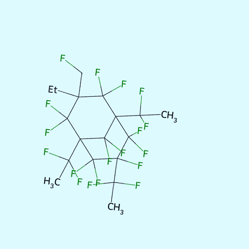 CCC1(CF)C(F)(F)C2(C(C)(F)F)C(F)(F)C(F)(C(C)(F)F)C(F)(F)C(C(C)(F)F)(C1(F)F)C2(F)F